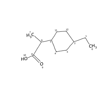 CCC1CCC(C(C)C(=O)O)CC1